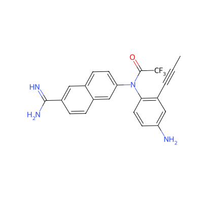 CC#Cc1cc(N)ccc1N(C(=O)C(F)(F)F)c1ccc2cc(C(=N)N)ccc2c1